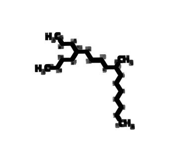 CCCCCCCC(C)CC=CCC(CCC)CCCC